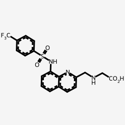 O=C(O)CNCc1ccc2cccc(NS(=O)(=O)c3ccc(C(F)(F)F)cc3)c2n1